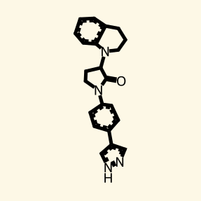 O=C1C(N2CCCc3ccccc32)CCN1c1ccc(-c2cn[nH]c2)cc1